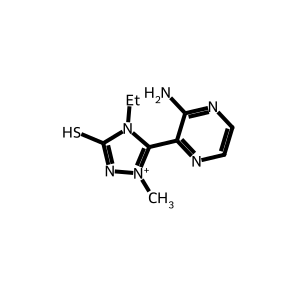 CCn1c(S)n[n+](C)c1-c1nccnc1N